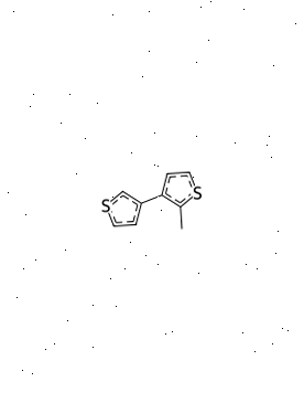 Cc1sccc1-c1ccsc1